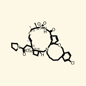 C[C@@H]1[C@@H](C)C/C=C/[C@](O)(CC(=O)N2CCCC2)[C@@H]2CC[C@H]2CN2CCCCc3cc(Cl)ccc3COc3ccc(cc32)C(=O)NS1(=O)=O